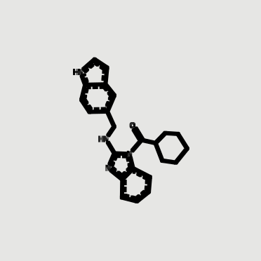 O=C(C1CCCCC1)n1c(NCc2ccc3[nH]ccc3c2)nc2ccccc21